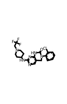 O=C1Nc2nc(NC3CCN(CC(F)(F)F)CC3)ncc2CN1c1ccccc1Cl